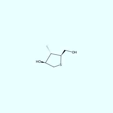 C[C@H]1[C@H](O)CS[C@@H]1CO